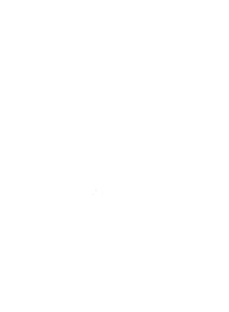 Cc1ccc(-c2[c]c3ccccc3cc2C(C)(C)C)cc1